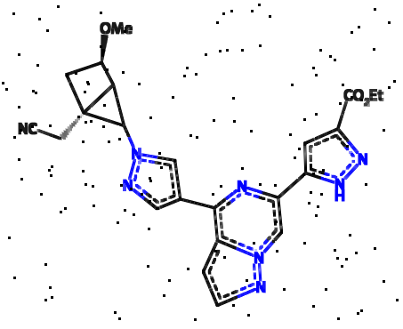 CCOC(=O)c1cc(-c2cn3nccc3c(-c3cnn(C4C5[C@H](OC)C[C@@]54CC#N)c3)n2)[nH]n1